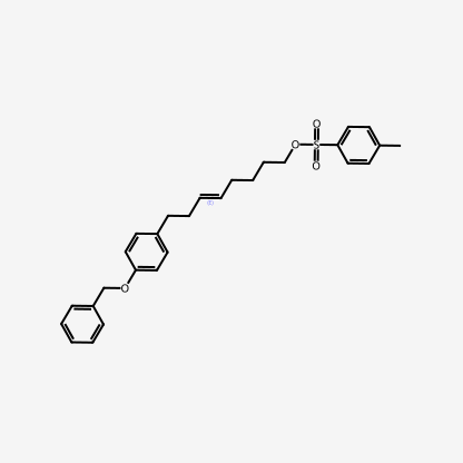 Cc1ccc(S(=O)(=O)OCCCC/C=C/CCc2ccc(OCc3ccccc3)cc2)cc1